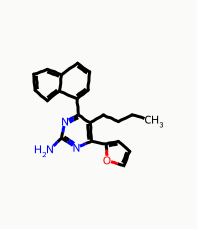 CCCCc1c(-c2ccco2)nc(N)nc1-c1cccc2ccccc12